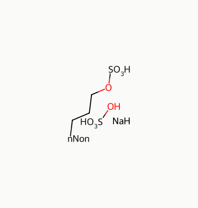 CCCCCCCCCCCCOS(=O)(=O)O.O=S(=O)(O)O.[NaH]